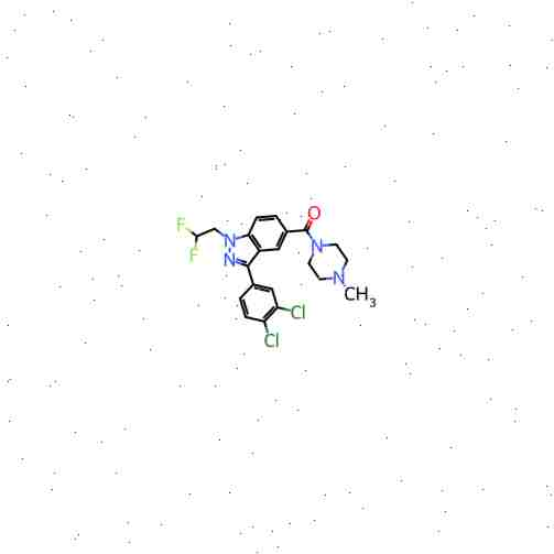 CN1CCN(C(=O)c2ccc3c(c2)c(-c2ccc(Cl)c(Cl)c2)nn3CC(F)F)CC1